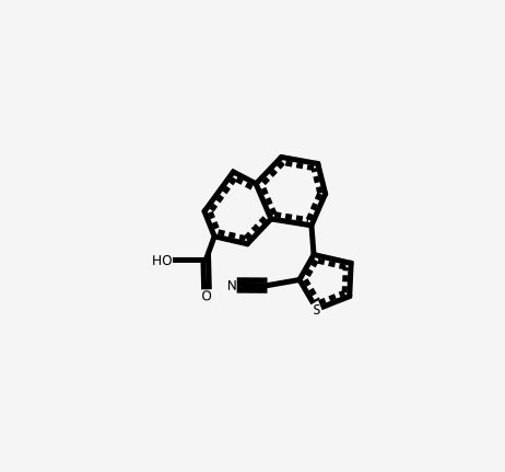 N#Cc1sccc1-c1cccc2ccc(C(=O)O)cc12